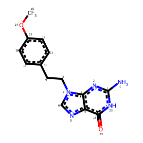 Nc1nc2c(ncn2CCc2ccc(OC(F)(F)F)cc2)c(=O)[nH]1